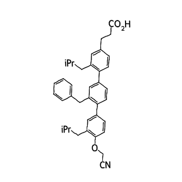 CC(C)Cc1cc(-c2ccc(-c3ccc(CCC(=O)O)cc3CC(C)C)cc2Cc2ccccc2)ccc1OCC#N